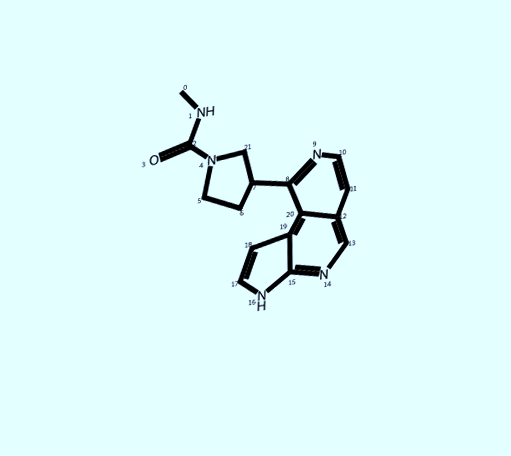 CNC(=O)N1CCC(c2nccc3cnc4[nH]ccc4c23)C1